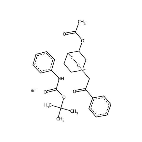 CC(=O)OC1C[N+]2(CC(=O)c3ccccc3)CCC1CC2.CC(C)(C)OC(=O)Nc1ccccc1.[Br-]